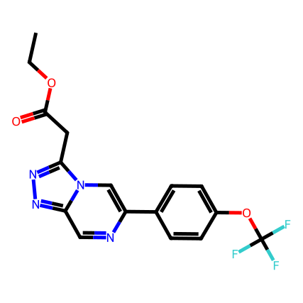 CCOC(=O)Cc1nnc2cnc(-c3ccc(OC(F)(F)F)cc3)cn12